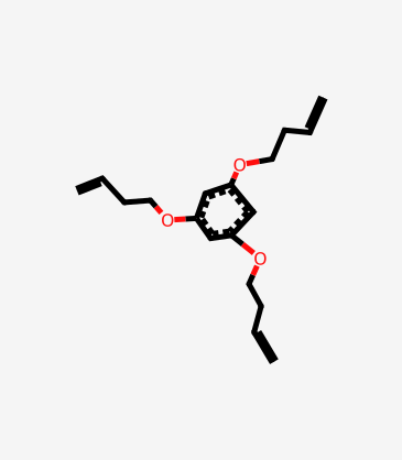 C=CCCOc1cc(OCCC=C)cc(OCCC=C)c1